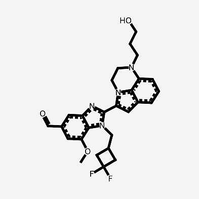 COc1cc(C=O)cc2nc(-c3cc4cccc5c4n3CCN5CCCO)n(CC3CC(F)(F)C3)c12